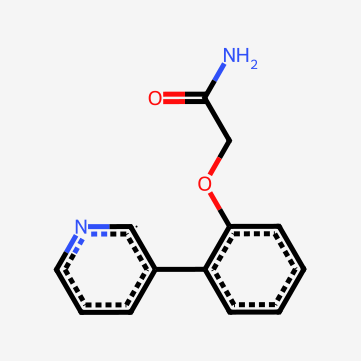 NC(=O)COc1ccccc1-c1[c]nccc1